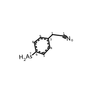 N#CCc1ccc([AsH2])cc1